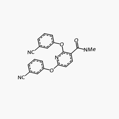 CNC(=O)c1ccc(Oc2cccc(C#N)c2)nc1Oc1cccc(C#N)c1